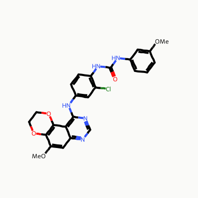 COc1cccc(NC(=O)Nc2ccc(Nc3ncnc4cc(OC)c5c(c34)OCCO5)cc2Cl)c1